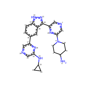 NC1CCN(c2cncc(-c3n[nH]c4ccc(-c5cncc(NC6CC6)n5)cc34)n2)CC1